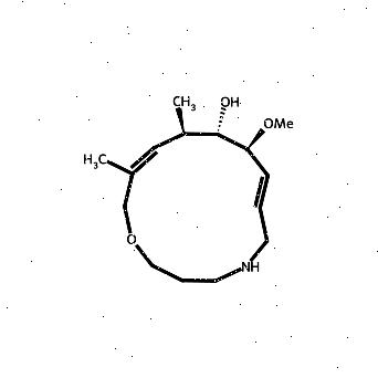 CO[C@H]1/C=C/CNCCCOC/C(C)=C\[C@@H](C)[C@@H]1O